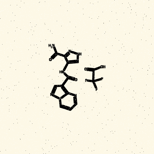 NC(=O)c1n[nH]cc1NC(=O)c1cnn2cccnc12.O=C(O)C(F)(F)F